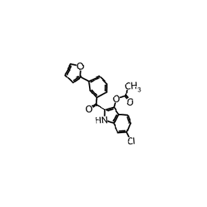 CC(=O)Oc1c(C(=O)c2cccc(-c3ccco3)c2)[nH]c2cc(Cl)ccc12